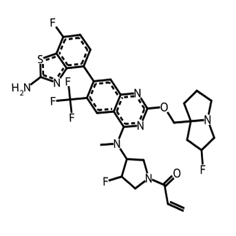 C=CC(=O)N1CC(F)C(N(C)c2nc(OCC34CCCN3CC(F)C4)nc3cc(-c4ccc(F)c5sc(N)nc45)c(C(F)(F)F)cc23)C1